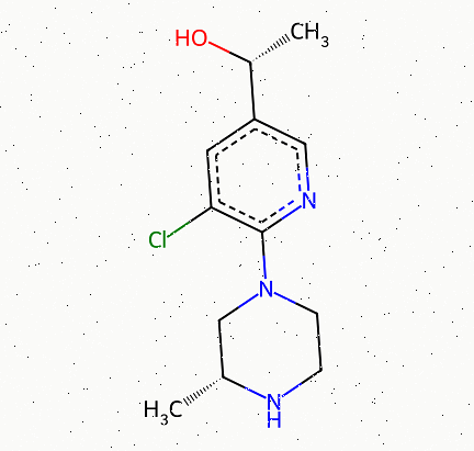 C[C@@H]1CN(c2ncc([C@@H](C)O)cc2Cl)CCN1